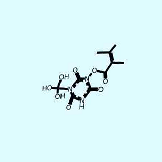 CC(C)=C(C)C(=O)On1c(=O)[nH]c(=O)n(C(O)(O)O)c1=O